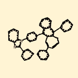 C1=CC(c2ccccc2)=Cc2c(c(-c3ccccc3)c3ccccc3c2-c2ccc(-n3c(-c4ccccc4)nc4ccccc43)cc2)C1